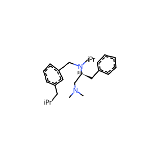 CC(C)Cc1cccc(CN(C(C)C)[C@@H](Cc2ccccc2)CN(C)C)c1